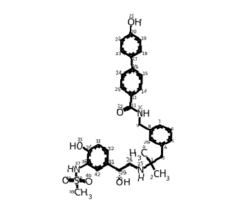 CC(C)(Cc1cccc(CNC(=O)c2ccc(-c3ccc(O)cc3)cc2)c1)NC[C@H](O)c1ccc(O)c(NS(C)(=O)=O)c1